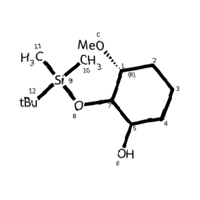 CO[C@@H]1CCCC(O)C1O[Si](C)(C)C(C)(C)C